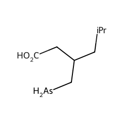 CC(C)CC(C[AsH2])CC(=O)O